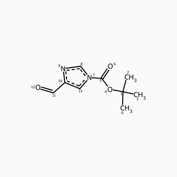 CC(C)(C)OC(=O)n1cnc(C=O)c1